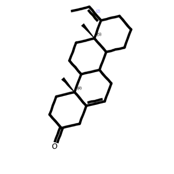 C/C=C1/CCCC2C3CC=C4CC(=O)CC[C@]4(C)C3CC[C@]12C